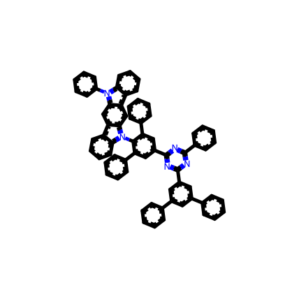 c1ccc(-c2cc(-c3ccccc3)cc(-c3nc(-c4ccccc4)nc(-c4cc(-c5ccccc5)c(-n5c6ccccc6c6cc7c(cc65)c5ccccc5n7-c5ccccc5)c(-c5ccccc5)c4)n3)c2)cc1